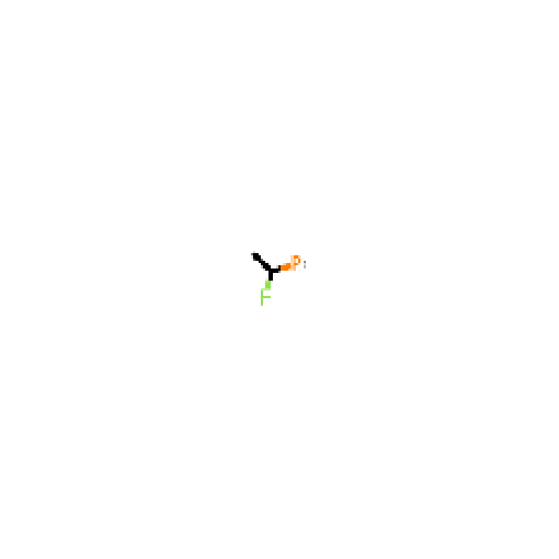 CC(F)[P]